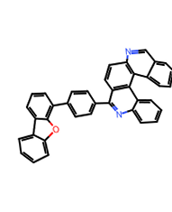 c1ccc2c(c1)cnc1ccc3c(-c4ccc(-c5cccc6c5oc5ccccc56)cc4)nc4ccccc4c3c12